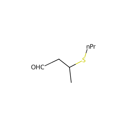 CCCSC(C)CC=O